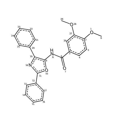 COc1ccc(C(=O)Nc2oc(-c3ccccc3)nc2-c2ccccc2)cc1OC